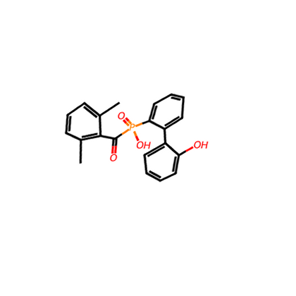 Cc1cccc(C)c1C(=O)P(=O)(O)c1ccccc1-c1ccccc1O